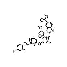 COC(=O)c1ccc2nc(CN3CC[C@H](Oc4ccnc(COc5ccc(F)cc5F)n4)C[C@@H]3C)n([C@@H]3COC[C@@H]3OC)c2c1